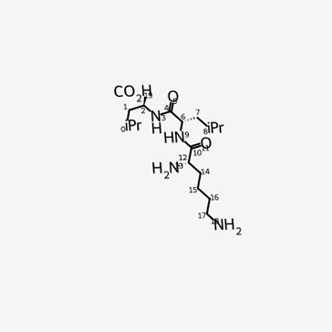 CC(C)C[C@H](NC(=O)[C@H](CC(C)C)NC(=O)[C@@H](N)CCCCN)C(=O)O